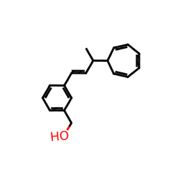 CC(C=Cc1cccc(CO)c1)C1C=CC=CC=C1